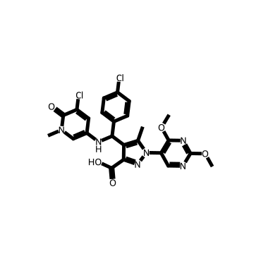 COc1ncc(-n2nc(C(=O)O)c(C(Nc3cc(Cl)c(=O)n(C)c3)c3ccc(Cl)cc3)c2C)c(OC)n1